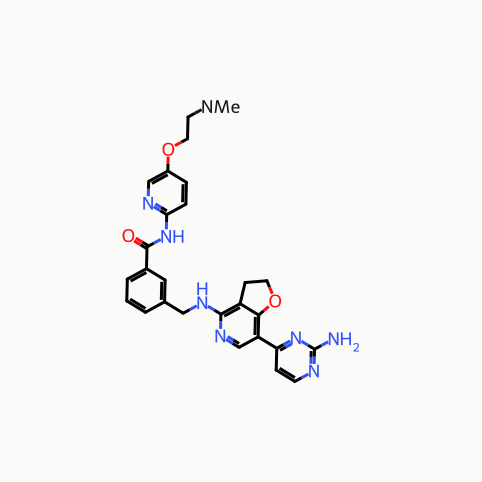 CNCCOc1ccc(NC(=O)c2cccc(CNc3ncc(-c4ccnc(N)n4)c4c3CCO4)c2)nc1